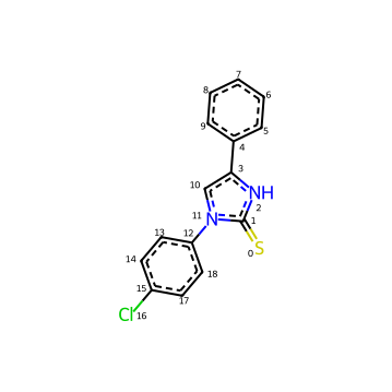 S=c1[nH]c(-c2ccccc2)cn1-c1ccc(Cl)cc1